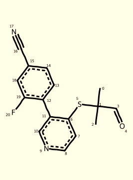 CC(C)(C=O)Sc1ccncc1-c1ccc(C#N)cc1F